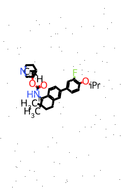 CC(C)Oc1ccc(-c2ccc3c(c2)CCC(C)(C)[C@H]3NC(=O)O[C@@H]2CN3CCC2CC3)cc1F